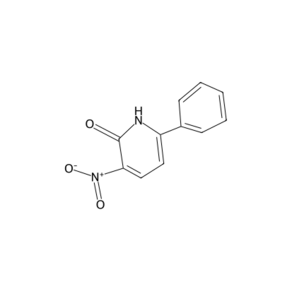 O=c1[nH]c(-c2ccccc2)ccc1[N+](=O)[O-]